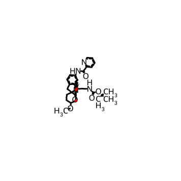 COC1CCC2(CC1)Cc1ccc(NC(=O)c3ccccn3)cc1C21N=C(NC(=O)OC(C)(C)C)CC1=O